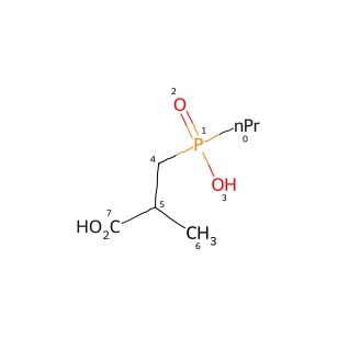 CCCP(=O)(O)CC(C)C(=O)O